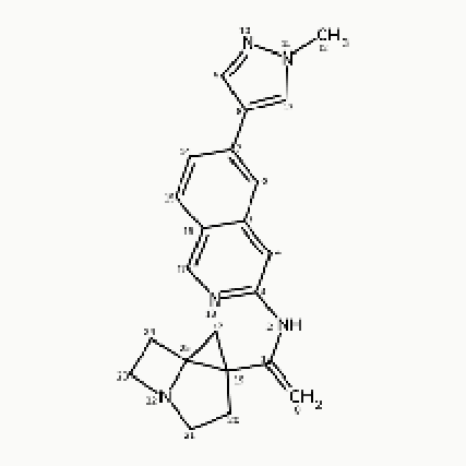 C=C(Nc1cc2cc(-c3cnn(C)c3)ccc2cn1)C12CCN3CCC31C2